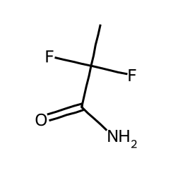 CC(F)(F)C(N)=O